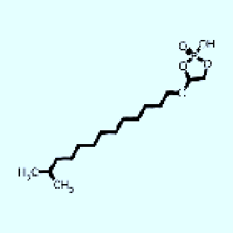 CC(C)CCCCCCCCCCCOC1COP(=O)(O)O1